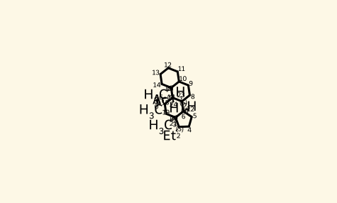 CC(C)=O.CC[C@H]1CC[C@H]2[C@@H]3CCC4CCCC[C@]4(C)[C@H]3CC[C@]12C